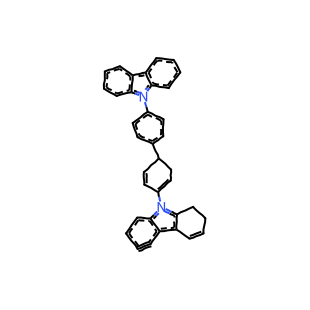 c1ccc2c(c#1)c1c(n2C2=CCC(c3ccc(-n4c5ccccc5c5ccccc54)cc3)C=C2)CCC=C1